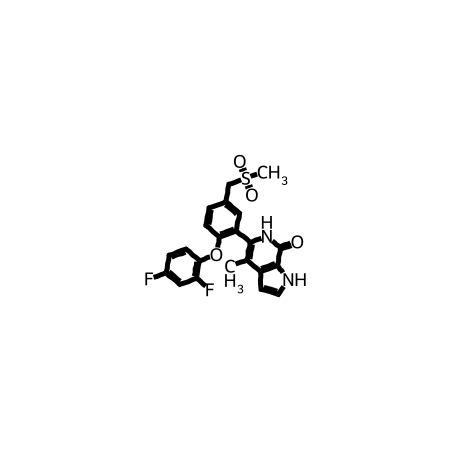 Cc1c(-c2cc(CS(C)(=O)=O)ccc2Oc2ccc(F)cc2F)[nH]c(=O)c2[nH]ccc12